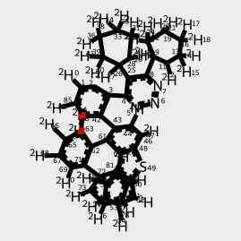 [2H]c1cc(-c2nnnc(C3([2H])C([2H])C([2H])([2H])C([2H])([2H])C([2H])([2H])C3([2H])[2H])c2C2([2H])C([2H])C([2H])([2H])C([2H])([2H])C([2H])([2H])C2([2H])[2H])c(-c2c([2H])c([2H])c3sc4c([2H])c([2H])c([2H])c([2H])c4c3c2-c2c([2H])c([2H])c([2H])c([2H])c2-c2c([2H])c([2H])c([2H])c([2H])c2[2H])c([2H])c1[2H]